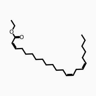 CCCCC/C=C\C/C=C\CCCCCCCCC/C=C\C(=O)OCC